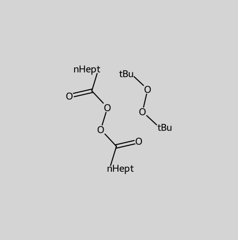 CC(C)(C)OOC(C)(C)C.CCCCCCCC(=O)OOC(=O)CCCCCCC